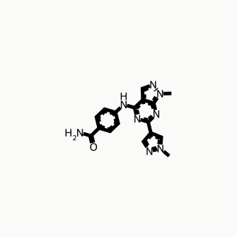 Cn1cc(-c2nc(Nc3ccc(C(N)=O)cc3)c3cnn(C)c3n2)cn1